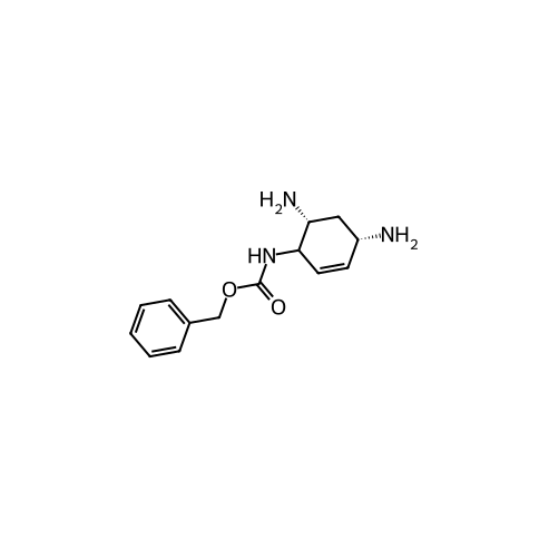 N[C@@H]1C=CC(NC(=O)OCc2ccccc2)[C@H](N)C1